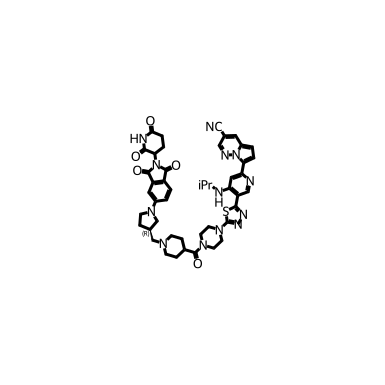 CC(C)Nc1cc(-c2ccc3cc(C#N)cnn23)ncc1-c1nnc(N2CCN(C(=O)C3CCN(C[C@H]4CCN(c5ccc6c(c5)C(=O)N(C5CCC(=O)NC5=O)C6=O)C4)CC3)CC2)s1